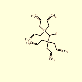 [Li][CH]([Si](CC=C)(CC=C)CC=C)[Si](CC=C)(CC=C)CC=C